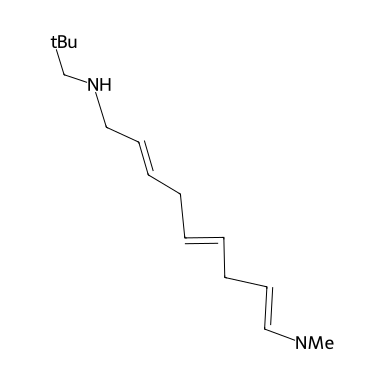 CN/C=C/C/C=C/C/C=C/CNCC(C)(C)C